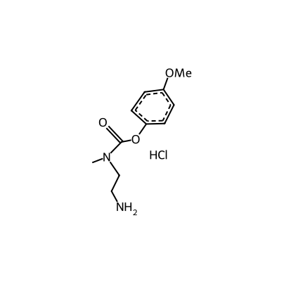 COc1ccc(OC(=O)N(C)CCN)cc1.Cl